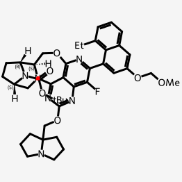 CCc1cccc2cc(OCOC)cc(-c3nc4c5c(nc(OCC67CCCN6CCC7)nc5c3F)N3C[C@@H]5CC[C@H]([C@H]3CO4)N5C(=O)OC(C)(C)C)c12